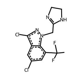 CC(F)(F)c1cc(Cl)cc2c(Cl)nn(CC3=NCCN3)c12